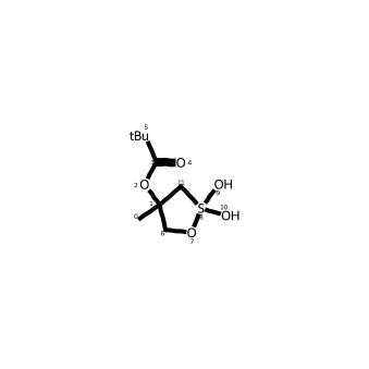 CC1(OC(=O)C(C)(C)C)COS(O)(O)C1